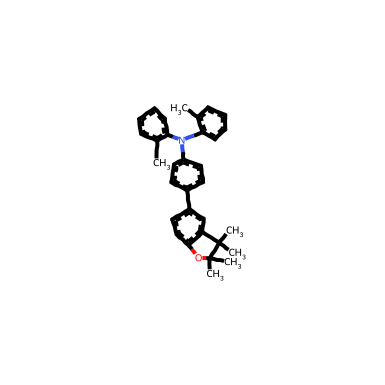 Cc1ccccc1N(c1ccc(-c2ccc3c(c2)C(C)(C)C(C)(C)O3)cc1)c1ccccc1C